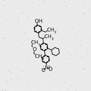 CCOCC.CCc1cc(O)ccc1CC(C)c1ccc(-c2ccc([N+](=O)[O-])cc2)c(C2CCCCC2)c1